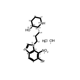 Cl.Cl.O=[N+]([O-])c1c(Br)ccc2ncn(CCC[C@H]3NCCC[C@@H]3O)c12